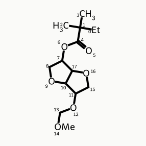 CCC(C)(C)C(=O)OC1COC2C(OCOC)COC12